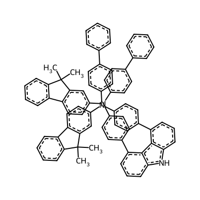 CC1(C)c2ccccc2-c2ccc(N(c3ccc(-c4ccccc4)cc3)c3ccc(-c4cccc5[nH]c6cccc(-c7ccc(N(c8ccc(-c9ccccc9)cc8)c8ccc9c(c8)C(C)(C)c8ccccc8-9)cc7)c6c45)cc3)cc21